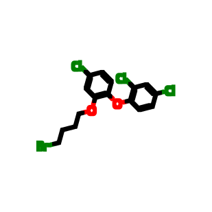 Clc1ccc(Oc2ccc(Cl)cc2OCCCCBr)c(Cl)c1